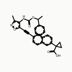 Cc1noc(C#Cc2ccc3cc(C4(C(=O)O)CC4)ccc3c2)c1NC(=O)OC(C)c1ccccc1